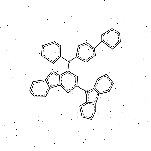 c1ccc(-c2ccc(N(c3ccccc3)c3cc(-n4c5ccccc5c5ccccc54)cc4c3sc3ccccc34)cc2)cc1